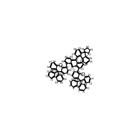 c1ccc(C2(c3ccccc3)c3ccccc3Oc3c(-c4cccc5c(-c6cccc7c6-c6ccccc6C76CCCC6)c6cccc(-c7cccc8c7Oc7ccccc7C8(c7ccccc7)c7ccccc7)c6cc45)cccc32)cc1